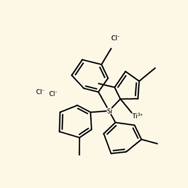 CC1=C[C]([Ti+3])([Si](c2cccc(C)c2)(c2cccc(C)c2)c2cccc(C)c2)C(C)=C1.[Cl-].[Cl-].[Cl-]